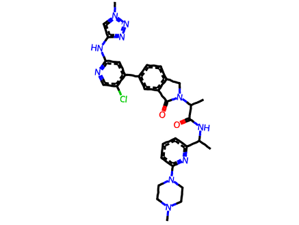 CC(NC(=O)C(C)N1Cc2ccc(-c3cc(Nc4cn(C)nn4)ncc3Cl)cc2C1=O)c1cccc(N2CCN(C)CC2)n1